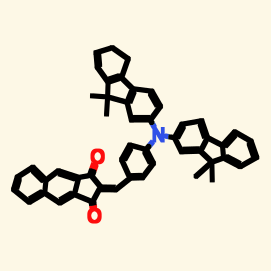 CC1(C)C2=C(CCC=C2)c2ccc(N(c3ccc(C=C4C(=O)c5cc6ccccc6cc5C4=O)cc3)c3ccc4c(c3)C(C)(C)c3ccccc3-4)cc21